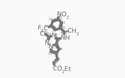 CCOC(=O)/C=C/c1cc2c(N[C@H](C)c3cc([N+](=O)[O-])cc(C(F)(F)F)c3)nc(Cl)nn2c1